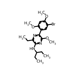 CCc1nc(-c2cc(Br)c(OC)cc2OC)c(OC)nc1NC(CC)CC